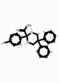 O=C(O)C1(c2ccc(F)cc2)OCC(c2ccccc2)(c2ccccc2)CO1